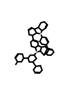 CC1C=CCC(C2CC(C3CC=CCC3)CC(N3C4C=CC=CC4C4C=C(C5CC=CC6C7CCC=CC7N(C7C=CC(C8=CCCCC8)CC7)C56)CCC43)C2)C1